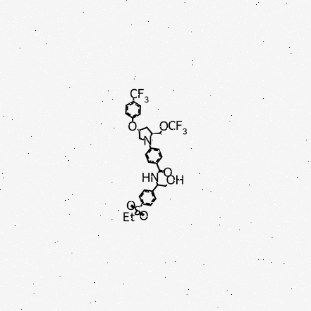 CCS(=O)(=O)c1ccc(C(CO)NC(=O)c2ccc(N3C[C@H](Oc4ccc(C(F)(F)F)cc4)C[C@H]3COC(F)(F)F)cc2)cc1